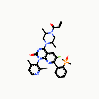 C=CC(=O)N1CC(C)N(c2nc(=O)n(-c3c(C)ccnc3C(C)C)c3nc(-c4ccccc4P(C)(C)=O)c(F)cc23)CC1C